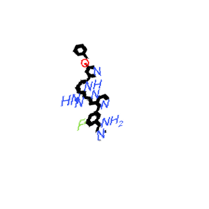 CN(C)CC(N)c1cc(F)cc(-c2nccc3[nH]c(-c4n[nH]c5ccc(-c6cncc(OCc7ccccc7)c6)nc45)cc23)c1